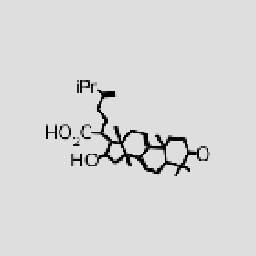 C=C(CCC(C(=O)O)C1C(O)CC2(C)C3=CCC4C(C)(C)C(=O)CCC4(C)C3=CCC12C)C(C)C